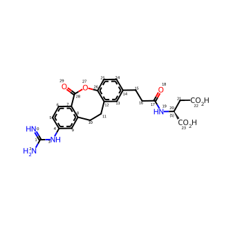 N=C(N)Nc1ccc2c(c1)CCc1cc(CCC(=O)N[C@@H](CC(=O)O)C(=O)O)ccc1OC2=O